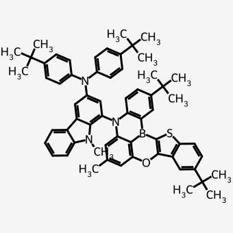 Cc1cc2c3c(c1)N(c1cc(N(c4ccc(C(C)(C)C)cc4)c4ccc(C(C)(C)C)cc4)cc4c5ccccc5n(C)c14)c1ccc(C(C)(C)C)cc1B3c1sc3ccc(C(C)(C)C)cc3c1O2